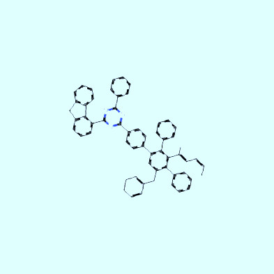 C/C=C\C=C(/CC)c1c(-c2ccccc2)c(CC2=CCCC=C2)cc(-c2ccc(-c3nc(-c4ccccc4)nc(-c4cccc5c4-c4ccccc4C5)n3)cc2)c1-c1ccccc1